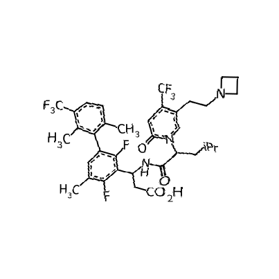 Cc1cc(-c2c(C)ccc(C(F)(F)F)c2C)c(F)c(C(CC(=O)O)NC(=O)C(CC(C)C)n2cc(CCN3CCC3)c(C(F)(F)F)cc2=O)c1F